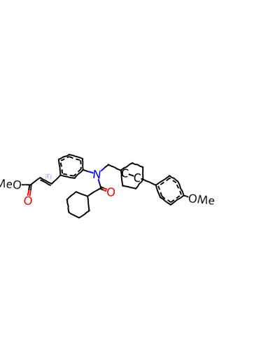 COC(=O)/C=C/c1cccc(N(CC23CCC(c4ccc(OC)cc4)(CC2)CC3)C(=O)C2CCCCC2)c1